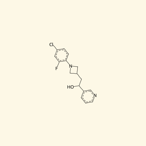 OC(CC1CN(c2ccc(Cl)cc2F)C1)c1cccnc1